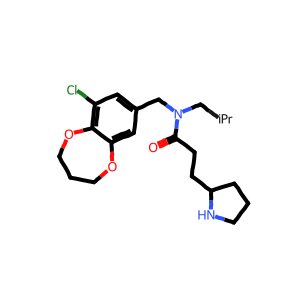 CC(C)CN(Cc1cc(Cl)c2c(c1)OCCCO2)C(=O)CCC1CCCN1